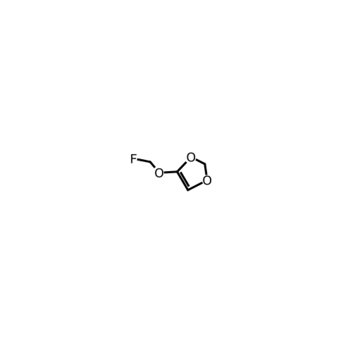 FCOC1=COCO1